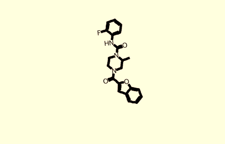 CC1CN(C(=O)c2cc3ccccc3o2)CCN1C(=O)Nc1ccccc1F